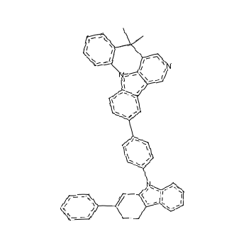 CC1(C)c2ccccc2-n2c3ccc(-c4ccc(-n5c6c(c7ccccc75)CCC(c5ccccc5)=C6)cc4)cc3c3cncc1c32